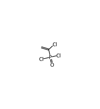 C=C(Cl)P(=O)(Cl)Cl